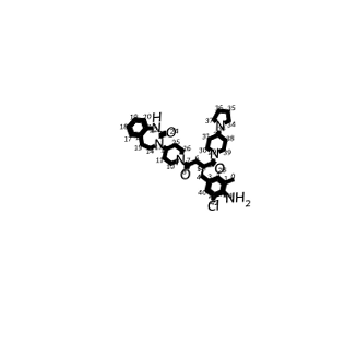 Cc1cc(C[C@@H](CC(=O)N2CCC(N3CCc4ccccc4NC3=O)CC2)C(=O)N2CCC(N3CCCC3)CC2)cc(Cl)c1N